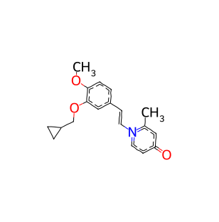 COc1ccc(C=Cn2ccc(=O)cc2C)cc1OCC1CC1